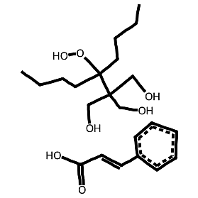 CCCCC(CCCC)(OO)C(CO)(CO)CO.O=C(O)C=Cc1ccccc1